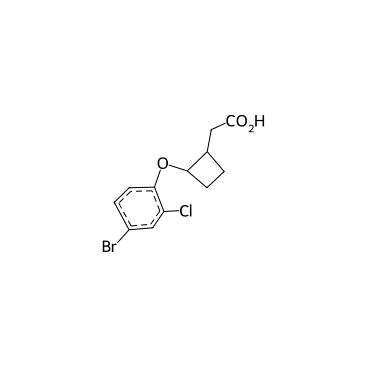 O=C(O)CC1CCC1Oc1ccc(Br)cc1Cl